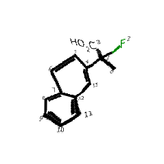 CC(F)(C(=O)O)c1ccc2ccccc2c1